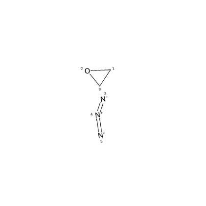 C1CO1.[N-]=[N+]=[N-]